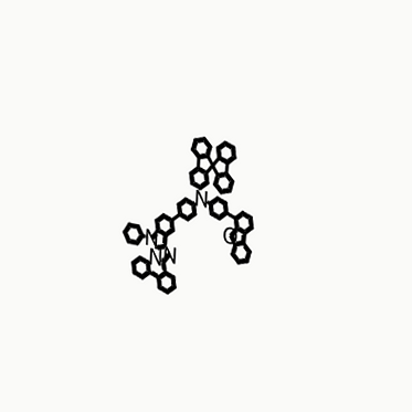 c1ccc(-n2c3ccc(-c4ccc(N(c5ccc(-c6cccc7c6oc6ccccc67)cc5)c5ccc6c(c5)C5(c7ccccc7-c7ccccc75)c5ccccc5-6)cc4)cc3c3nc4c5ccccc5c5ccccc5n4c32)cc1